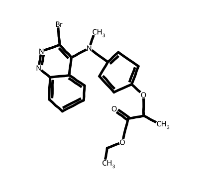 CCOC(=O)C(C)Oc1ccc(N(C)c2c(Br)nnc3ccccc23)cc1